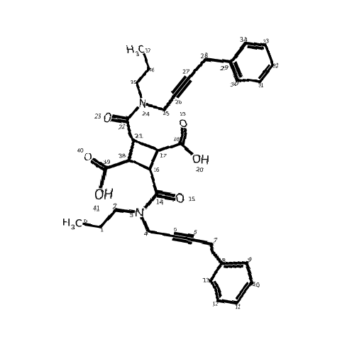 CCCN(CC#CCc1ccccc1)C(=O)C1C(C(=O)O)C(C(=O)N(CC#CCc2ccccc2)CCC)C1C(=O)O